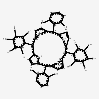 Fc1c(F)c(F)c(-c2c3nc(c(-c4c(Cl)cccc4Cl)c4ccc([nH]4)c(-c4c(F)c(F)c(F)c(F)c4F)c4nc(c(-c5c(Cl)cccc5Cl)c5ccc2[nH]5)C=C4)C=C3)c(F)c1F